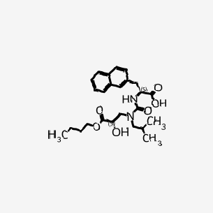 CCCCOC(=O)[C@@H](O)CN(CC(C)C)C(=O)N[C@@H](Cc1ccc2ccccc2c1)C(=O)O